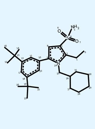 CCc1c(S(N)(=O)=O)cc(-c2cc(C(C)(C)C)cc(C(C)(C)C)c2)n1CC1CCCCC1